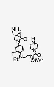 CCN(CCN(OC)C(=O)N1CCNCC1)c1ccc(N2C[C@H](CN)OC2=O)cc1F